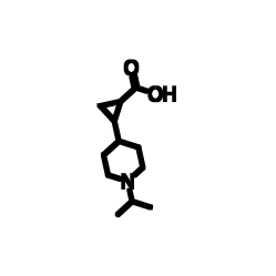 CC(C)N1CCC(C2CC2C(=O)O)CC1